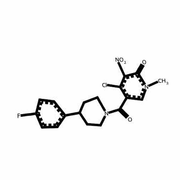 Cn1cc(C(=O)N2CCC(c3ccc(F)cc3)CC2)c(Cl)c([N+](=O)[O-])c1=O